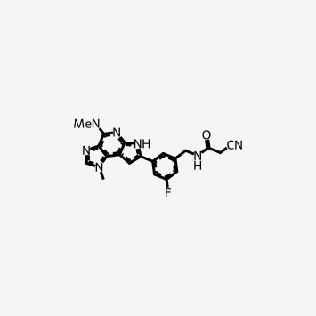 CNc1nc2[nH]c(-c3cc(F)cc(CNC(=O)CC#N)c3)cc2c2c1ncn2C